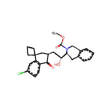 CC(C)(C)OC(=O)N1Cc2ccccc2C[C@H]1[C@H](O)CC1CC2(CCC2)c2cc(Cl)ccc2C1=O